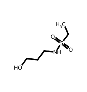 CCS(=O)(=O)NCCCO